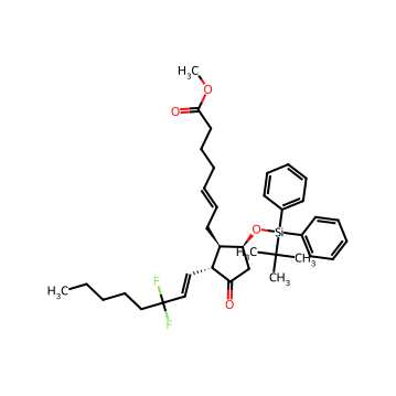 CCCCCC(F)(F)/C=C/[C@H]1C(=O)C[C@H](O[Si](c2ccccc2)(c2ccccc2)C(C)(C)C)[C@@H]1C/C=C/CCCC(=O)OC